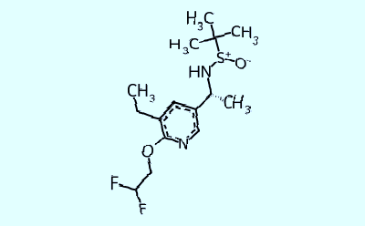 CCc1cc([C@@H](C)N[S+]([O-])C(C)(C)C)cnc1OCC(F)F